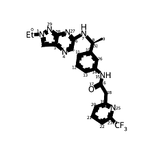 CCn1cc2ncc(N[C@@H](C)c3cccc(NC(=O)Cc4cccc(C(F)(F)F)n4)c3)nc2n1